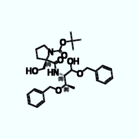 C[C@@H](OCc1ccccc1)[C@H](NC(=O)[C@]1(CO)CCCN1C(=O)OC(C)(C)C)C(O)OCc1ccccc1